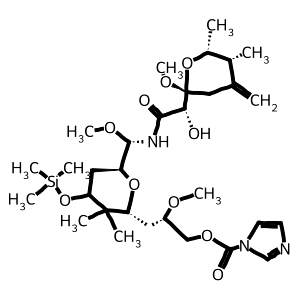 C=C1C[C@](OC)([C@H](O)C(=O)N[C@@H](OC)[C@@H]2CC(O[Si](C)(C)C)C(C)(C)[C@@H](C[C@@H](COC(=O)n3ccnc3)OC)O2)O[C@H](C)[C@@H]1C